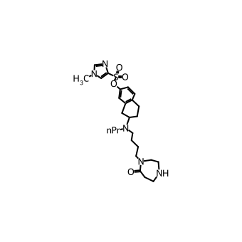 CCCN(CCCCN1CCNCCC1=O)C1CCc2ccc(OS(=O)(=O)c3cn(C)cn3)cc2C1